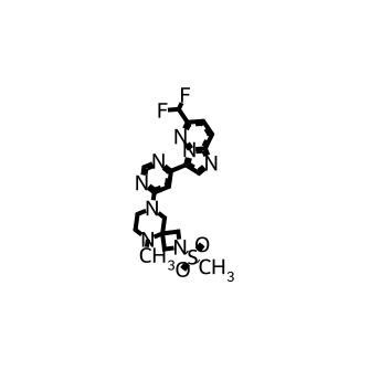 CN1CCN(c2cc(-c3cnc4ccc(C(F)F)nn34)ncn2)CC12CN(S(C)(=O)=O)C2